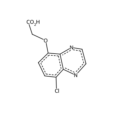 O=C(O)COc1ccc(Cl)c2nccnc12